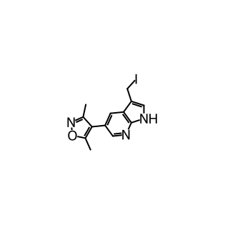 Cc1noc(C)c1-c1cnc2[nH]cc(CI)c2c1